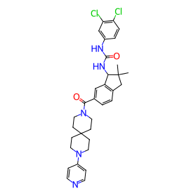 CC1(C)Cc2ccc(C(=O)N3CCC4(CC3)CCN(c3ccncc3)CC4)cc2C1NC(=O)Nc1ccc(Cl)c(Cl)c1